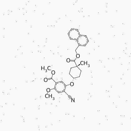 COC(=O)c1cc(O[C@H]2CC[C@@](C)(C(=O)OCc3cccc4ccccc34)CC2)c(C#N)cc1OC